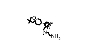 CN(CCN)Cc1nn(C)cc1[C@H]1CC[C@]2(CC1)CC(C)(C)CO2